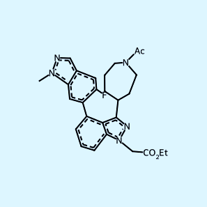 CCOC(=O)Cn1nc(C2CCCN(C(C)=O)CC2)c2c(-c3cc4c(cnn4C)cc3F)cccc21